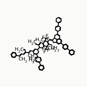 C=CC1=CC2=C(CC1C1C=C(/C=C(C)/C(C=C)=C/C=C(\C)c3ccccc3)C=C(C(=C)/C=C\C(=C/C)c3ccccc3)C1)C(C)(C(F)(F)F)C(CC)=C(/C=C1\Cc3cc(-c4ccc(-c5ccccc5)cc4)cc4c3C1CC(C1C=CC(C3=CC=CCC3)=CC1)=C4)C2(C)C(F)(F)F